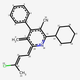 C=c1c(-c2ccccc2)c(C#N)c(C2CCCCC2)n/c1=C/C=C(\C)Cl